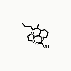 CCCCC(C)C1CCCN(C(=O)O)C1B1OCCO1